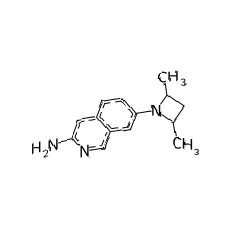 CC1CC(C)N1c1ccc2cc(N)ncc2c1